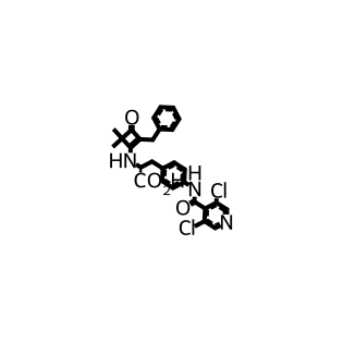 CC1(C)C(=O)C(Cc2ccccc2)=C1N[C@@H](Cc1ccc(NC(=O)c2c(Cl)cncc2Cl)cc1)C(=O)O